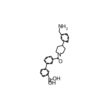 NCc1cccc(C2CCN(C(=O)c3cccc(-c4cccc(B(O)O)c4)c3)CC2)c1